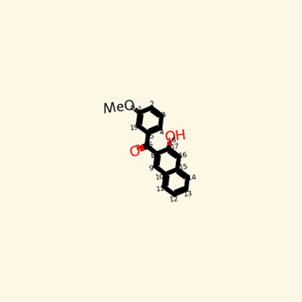 COc1cccc(C(=O)c2cc3ccccc3cc2O)c1